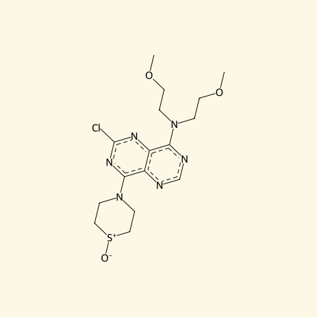 COCCN(CCOC)c1ncnc2c(N3CC[S+]([O-])CC3)nc(Cl)nc12